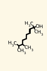 CC(C)C(C)CCCC=CC(C)(C)O